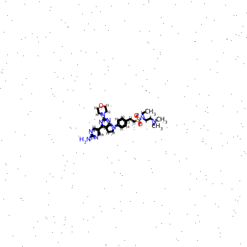 CCN(CCN(C)C)S(=O)(=O)CCc1ccc(N2CCc3c(-c4cnc(N)nc4)nc(N4CCOCC4)nc32)cc1